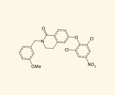 COc1cccc(CN2CCc3cc(Oc4c(Cl)cc([N+](=O)[O-])cc4Cl)ccc3C2=O)c1